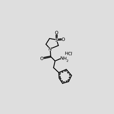 Cl.NC(Cc1ccccc1)C(=O)N1CCS(=O)(=O)C1